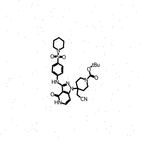 CC(C)(C)OC(=O)N1CCC(CC#N)(n2nc(Nc3ccc(S(=O)(=O)N4CCCCC4)cc3)c3c(=O)[nH]ccc32)CC1